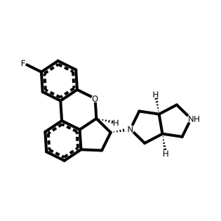 Fc1ccc2c(c1)-c1cccc3c1[C@@H](O2)[C@H](N1C[C@H]2CNC[C@H]2C1)C3